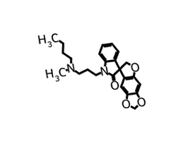 CCCCN(C)CCCN1C(=O)C2(COc3cc4c(cc32)OCO4)c2ccccc21